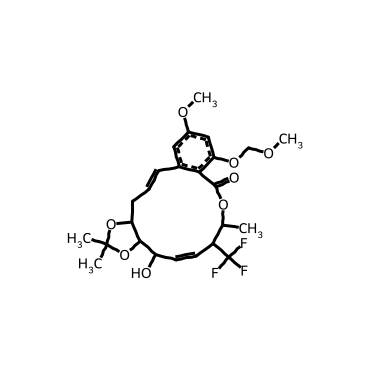 COCOc1cc(OC)cc2c1C(=O)OC(C)C(C(F)(F)F)/C=C\C(O)C1OC(C)(C)OC1C/C=C/2